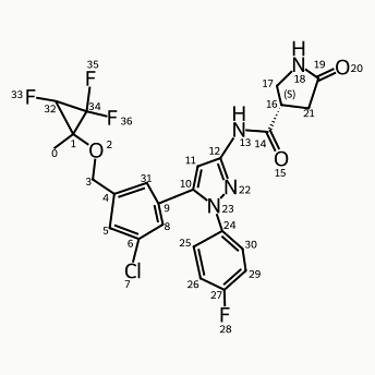 CC1(OCc2cc(Cl)cc(-c3cc(NC(=O)[C@@H]4CNC(=O)C4)nn3-c3ccc(F)cc3)c2)C(F)C1(F)F